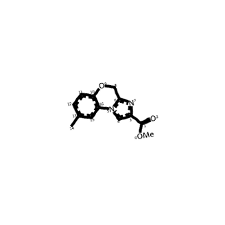 COC(=O)c1cn2c(n1)COc1ccc(C)cc1-2